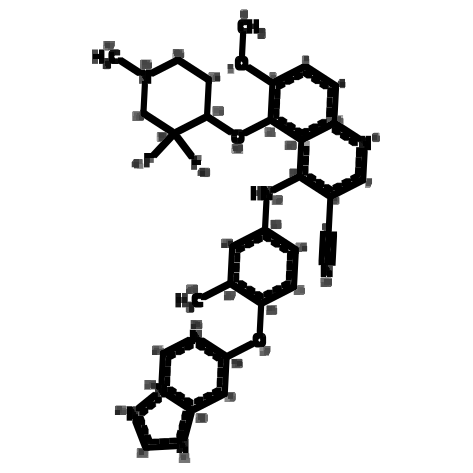 COc1ccc2ncc(C#N)c(Nc3ccc(Oc4cc5ncnn5cn4)c(C)c3)c2c1OC1CCN(C)CC1(F)F